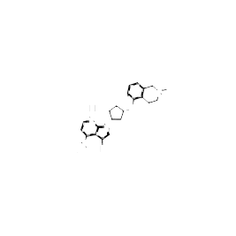 CN1CCc2c(cccc2O[C@H]2C[C@@H](n3cc(F)c4c(N)ccnc43)[C@H](O)[C@@H]2O)C1